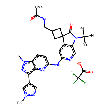 O=C(O)C(F)(F)F.[2H]C([2H])([2H])N1C(=O)C2(CC(CNC(=O)OC)C2)c2cc(Nc3ccc4c(n3)c(-c3cnn(C(F)(F)F)c3)nn4C)ncc21